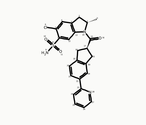 C[C@H]1Cc2cc(Cl)c(S(N)(=O)=O)cc2N1C(=O)[C@@H]1Cc2ccc(-c3ccccn3)cc2C1